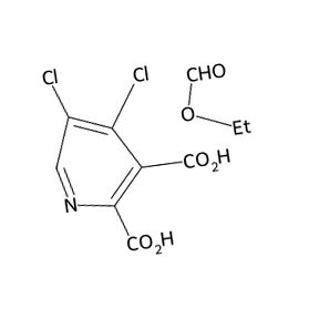 CCOC=O.O=C(O)c1ncc(Cl)c(Cl)c1C(=O)O